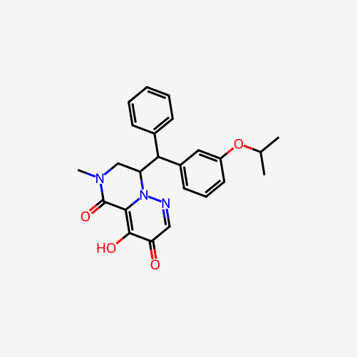 CC(C)Oc1cccc(C(c2ccccc2)C2CN(C)C(=O)c3c(O)c(=O)cnn32)c1